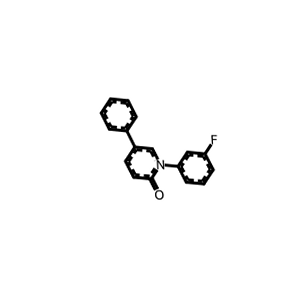 O=c1ccc(-c2ccccc2)cn1-c1cccc(F)c1